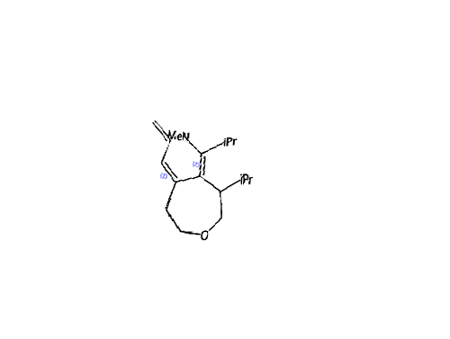 C=C/C=C1/CCOCC(C(C)C)/C1=C(/NC)C(C)C